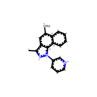 COc1cc2c(C)nn(-c3cccnc3)c2c2ccccc12